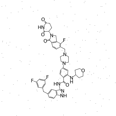 O=C1CCC(N2Cc3c(ccc(CN4CCN(c5ccc(C(=O)Nc6n[nH]c7ccc(Cc8cc(F)cc(F)c8)cc67)c(NC6CCOCC6)c5)CC4)c3F)C2=O)C(=O)N1